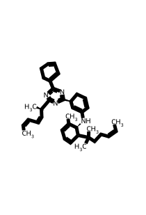 C/C=C\C=C/[C@@H](C)c1nc(C2=CC=CCC2)nc([C@@H]2C=C(N[C@H]3C(C)=CC=CC3C(C)(C)CC/C=C\C)C=CC2)n1